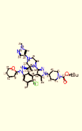 Cc1cc2c(cnn2C2CCCCO2)c(-c2c(N3CCN(c4cnn(C)c4)CC3(C)C)nn(C3CCN(C(=O)OC(C)(C)C)CC3)c2C)c1Cl